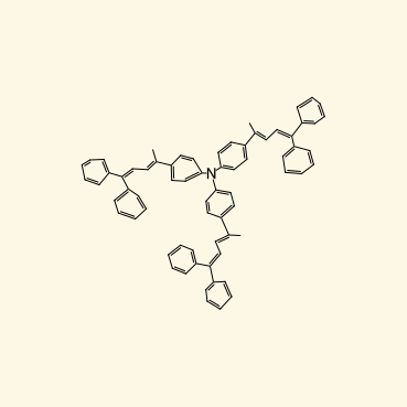 C/C(=C\C=C(c1ccccc1)c1ccccc1)c1ccc(N(c2ccc(/C(C)=C/C=C(c3ccccc3)c3ccccc3)cc2)c2ccc(/C(C)=C/C=C(c3ccccc3)c3ccccc3)cc2)cc1